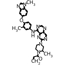 C=CC(=O)N1CCN(c2ncc3ncnc(Nc4ccc(Oc5ccc6c(c5)ncn6C)c(C)c4)c3n2)CC1C